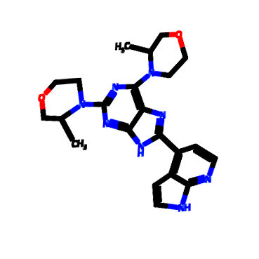 CC1COCCN1c1nc(N2CCOCC2C)c2nc(-c3ccnc4[nH]ccc34)[nH]c2n1